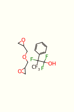 C(OCC1CO1)C1CO1.OC(F)(F)C(F)(c1ccccc1)C(F)(F)F